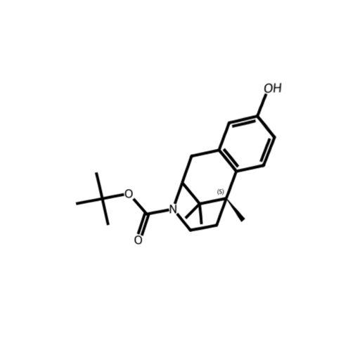 CC(C)(C)OC(=O)N1CC[C@@]2(C)c3ccc(O)cc3CC1C2(C)C